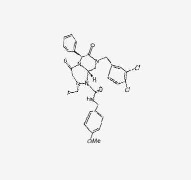 COc1ccc(CNC(=O)N2[C@H]3CN(Cc4ccc(Cl)c(Cl)c4)C(=O)[C@H](c4ccccc4)N3C(=O)CN2CF)cc1